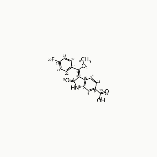 COC(=C1C(=O)Nc2cc(C(=O)O)ccc21)c1ccc(F)cc1